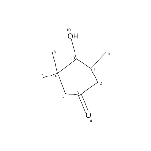 CC1CC(=O)CC(C)(C)C1O